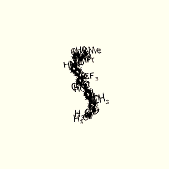 COC(=O)N[C@H](C(=O)N1C[C@@H](C)C[C@H]1c1nc2c(ccc3cc(-c4cc(Cl)c(NC(=O)c5ccc(N6CCN(C(=O)[C@H]7CC7(C)C)C[C@H]6C)nc5)cc4OC(F)(F)F)ccc32)[nH]1)C(C)C